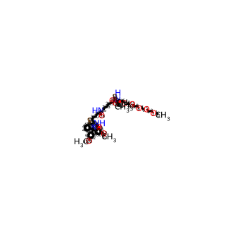 CCOCCOCCOCCOCCOCCNP(=S)(OCCCCCNC(=O)CCCC1SCC2C1NC(=O)N2C(c1ccccc1)(c1ccc(OC)cc1)c1ccc(OC)cc1)OC(C)(C)C